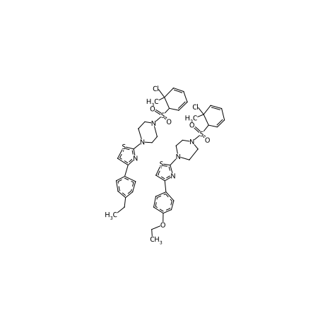 CCOc1ccc(-c2csc(N3CCN(S(=O)(=O)C4C=CC=CC4(C)Cl)CC3)n2)cc1.CCc1ccc(-c2csc(N3CCN(S(=O)(=O)C4C=CC=CC4(C)Cl)CC3)n2)cc1